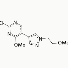 COCCn1cc(-c2cnc(Cl)nc2OC)cn1